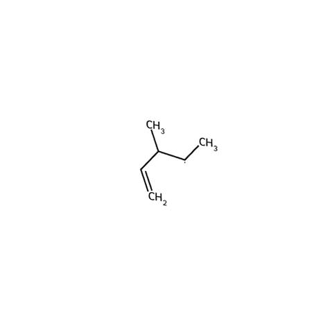 C=CC(C)[CH]C